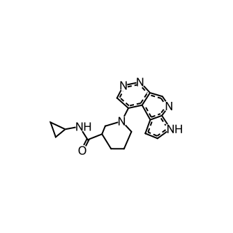 O=C(NC1CC1)C1CCCN(c2cnnc3cnc4[nH]ccc4c23)C1